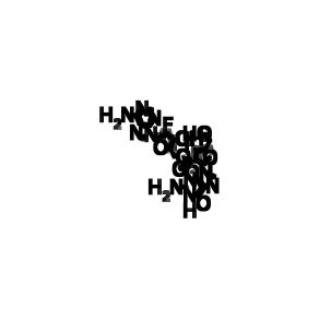 Nc1nc2c(ncn2C2O[C@H](CO)[C@@H](F)[C@H]2P(=O)(O)OC[C@H]2O[C@@H](n3cnc4c(N)ncnc43)[C@@H](F)[C@@H]2O)c(=O)[nH]1